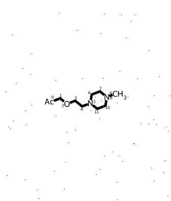 CC(=O)COCCN1CCN(C)CC1